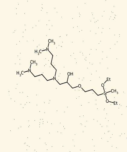 CCO[Si](C)(CCCOCC(O)CN(CCCN(C)C)CCCN(C)C)OCC